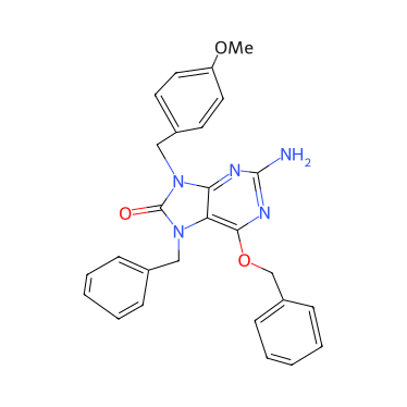 COc1ccc(Cn2c(=O)n(Cc3ccccc3)c3c(OCc4ccccc4)nc(N)nc32)cc1